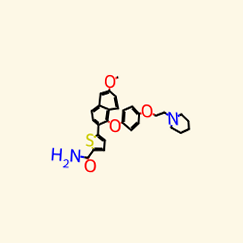 COc1ccc2c(Oc3ccc(OCCN4CCCCC4)cc3)c(-c3ccc(C(N)=O)s3)ccc2c1